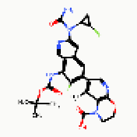 Cc1c(-c2cc3cc(N(C(N)=O)[C@H]4C[C@H]4F)ncc3c(NC(=O)OC(C)(C)C)c2F)cnc2c1N(C(=O)O)CCO2